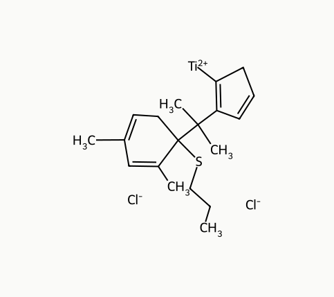 CCCSC1(C(C)(C)C2=[C]([Ti+2])CC=C2)CC=C(C)C=C1C.[Cl-].[Cl-]